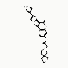 Cn1cc(-c2cn3nc4c5ncc(NC(=O)CN6CCC7(CCOC7)C6)cc5[nH]c(=O)c4c3s2)cn1